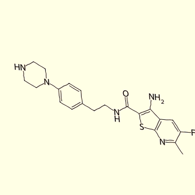 Cc1nc2sc(C(=O)NCCc3ccc(N4CCNCC4)cc3)c(N)c2cc1F